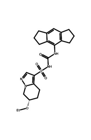 CCO[C@H]1CCc2c(S(=O)(=O)NC(=O)Nc3c4c(cc5c3CCC5)CCC4)cnn2C1